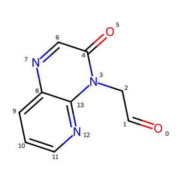 O=CCn1c(=O)cnc2cccnc21